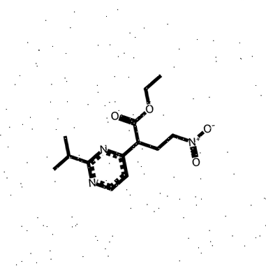 CCOC(=O)C(CC[N+](=O)[O-])c1ccnc(C(C)C)n1